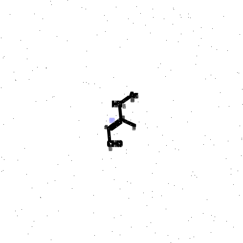 CC(=O)N/C(C)=C/C=O